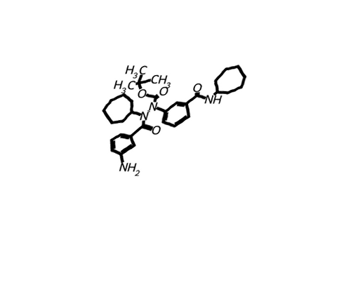 CC(C)(C)OC(=O)N(c1cccc(C(=O)NC2CCCCCC2)c1)N(C(=O)c1cccc(N)c1)C1CCCCCC1